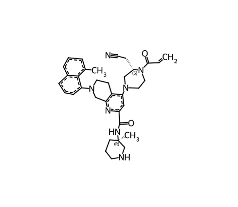 C=CC(=O)N1CCN(c2cc(C(=O)N[C@]3(C)CCCNC3)nc3c2CCN(c2cccc4cccc(C)c24)C3)C[C@@H]1CC#N